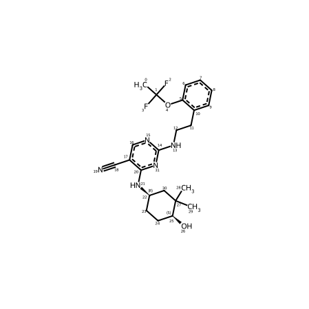 CC(F)(F)Oc1ccccc1CCNc1ncc(C#N)c(N[C@@H]2CC[C@H](O)C(C)(C)C2)n1